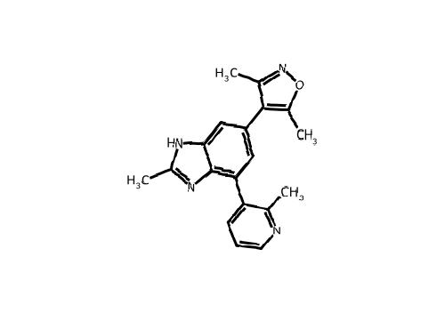 Cc1nc2c(-c3cccnc3C)cc(-c3c(C)noc3C)cc2[nH]1